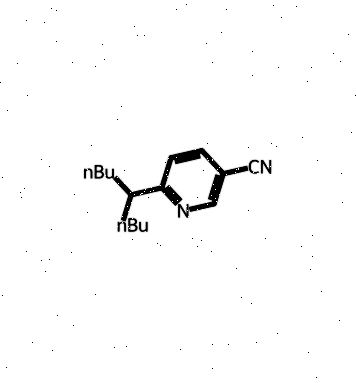 CCCCC(CCCC)c1ccc(C#N)cn1